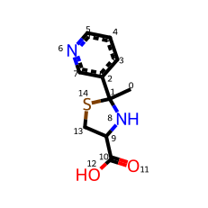 CC1(c2cccnc2)NC(C(=O)O)CS1